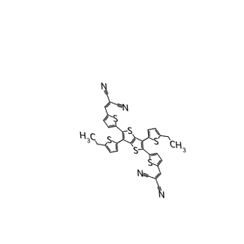 CCc1ccc(-c2c(-c3ccc(C=C(C#N)C#N)s3)sc3c(-c4ccc(CC)s4)c(-c4ccc(C=C(C#N)C#N)s4)sc23)s1